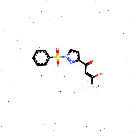 O=C(O)C(O)=CC(=O)c1ccn(S(=O)(=O)c2ccccc2)n1